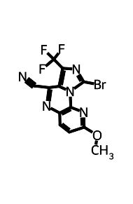 COc1ccc2nc(C#N)c3c(C(F)(F)F)nc(Br)n3c2n1